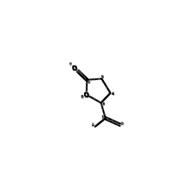 C=C(C)C1CCC(=O)O1